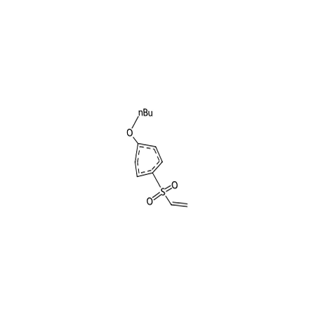 C=CS(=O)(=O)c1ccc(OCCCC)cc1